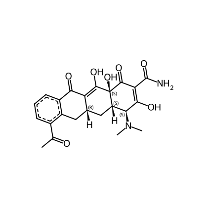 CC(=O)c1cccc2c1C[C@H]1C[C@H]3[C@H](N(C)C)C(O)=C(C(N)=O)C(=O)[C@@]3(O)C(O)=C1C2=O